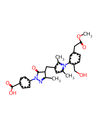 COC(=O)Cc1ccc(CO)c(-n2c(C)cc(CC3C(=O)N(c4ccc(C(=O)O)cc4)N=C3C)c2C)c1